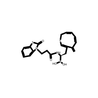 C=C1/C=C\C=C/CS/C=C\1C[C@H](NC(=O)CCn1c(=O)sc2ccccc21)B(O)O